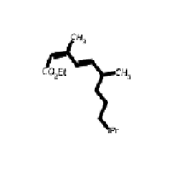 CCOC(=O)C=C(C)C=CC(C)CCCC(C)C